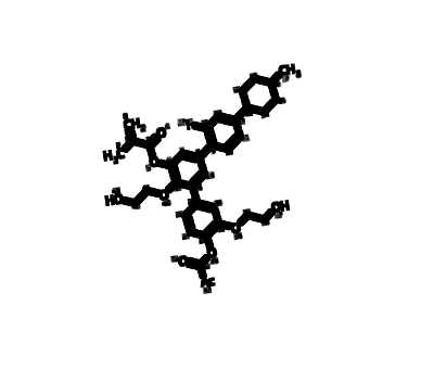 C=C(C)C(=O)Oc1cc(-c2ccc(C3CCC(C)CC3)cc2F)cc(-c2ccc(OC(=O)C(C)=O)c(OCCO)c2)c1OCCO